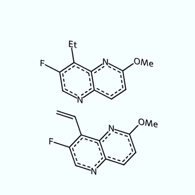 C=Cc1c(F)cnc2ccc(OC)nc12.CCc1c(F)cnc2ccc(OC)nc12